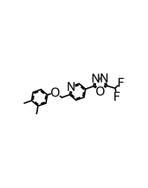 Cc1ccc(OCc2ccc(-c3nnc(C(F)F)o3)cn2)cc1C